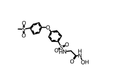 CS(=O)(=O)c1ccc(Oc2ccc(S(=O)(=O)NCC(=O)NO)cc2)cc1